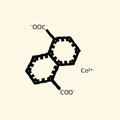 O=C([O-])c1cccc2c(C(=O)[O-])cccc12.[Co+2]